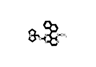 CSc1nccc2nc(OCC34CCCN3CCC4)nc(-c3cccc4ccccc34)c12